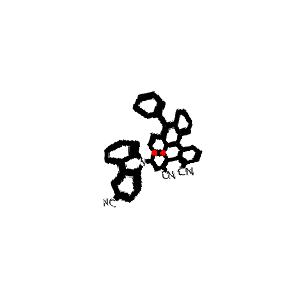 N#Cc1ccc2c(c1)c1ccccc1n2-c1ccc(-c2c(C#N)cccc2-c2c3ccccc3c(-c3ccccc3)c3ccccc23)c(C#N)c1